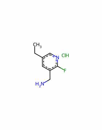 CCc1cnc(F)c(CN)c1.Cl